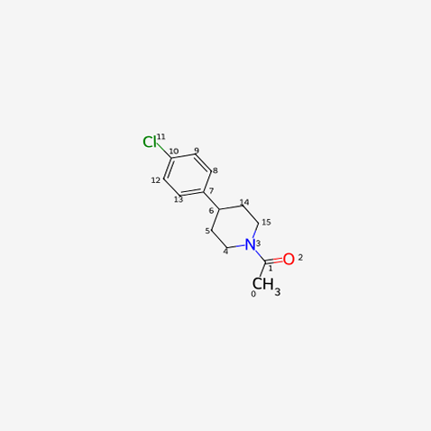 CC(=O)N1CCC(c2ccc(Cl)cc2)CC1